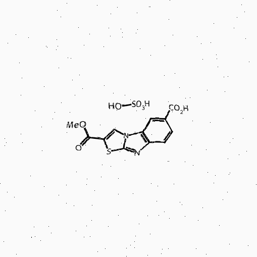 COC(=O)c1cn2c(nc3ccc(C(=O)O)cc32)s1.O=S(=O)(O)O